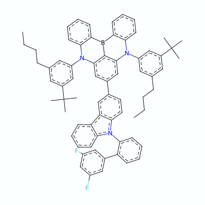 CCCCc1cc(N2c3ccccc3B3c4ccccc4N(c4cc(CCCC)cc(C(C)(C)C)c4)c4cc(-c5ccc6c(c5)c5ccccc5n6-c5ccccc5-c5cc(F)cc(F)c5)cc2c43)cc(C(C)(C)C)c1